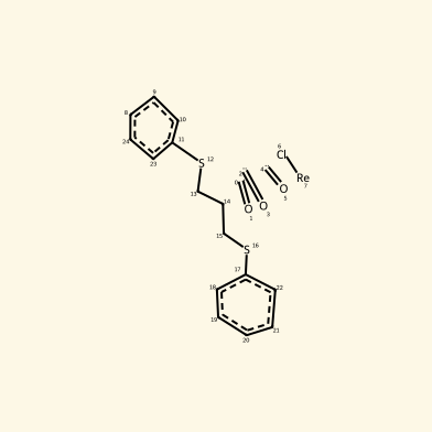 [C]=O.[C]=O.[C]=O.[Cl][Re].c1ccc(SCCCSc2ccccc2)cc1